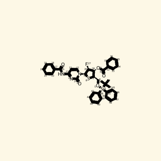 CC(C)(C)[Si](OC[C@H]1S[C@@H](n2ccc(NC(=O)c3ccccc3)nc2=O)[C@@H](F)[C@@H]1OC(=O)c1ccccc1)(c1ccccc1)c1ccccc1